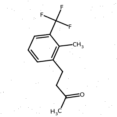 CC(=O)CCc1cccc(C(F)(F)F)c1C